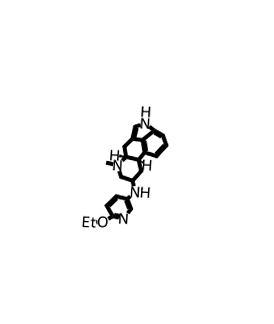 CCOc1ccc(NC2C[C@@H]3c4cccc5[nH]cc(c45)C[C@H]3N(C)C2)cn1